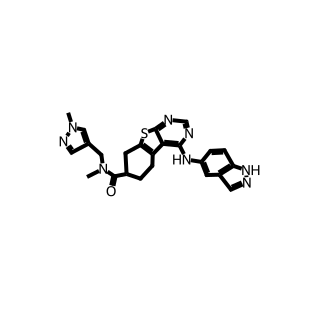 CN(Cc1cnn(C)c1)C(=O)C1CCc2c(sc3ncnc(Nc4ccc5[nH]ncc5c4)c23)C1